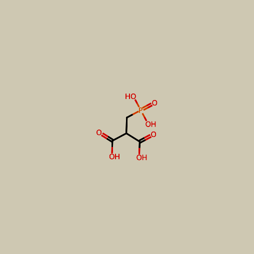 O=C(O)C(CP(=O)(O)O)C(=O)O